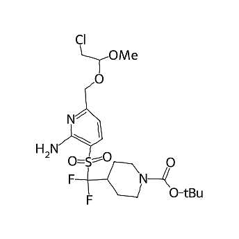 COC(CCl)OCc1ccc(S(=O)(=O)C(F)(F)C2CCN(C(=O)OC(C)(C)C)CC2)c(N)n1